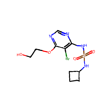 O=S(=O)(Nc1ncnc(OCCO)c1Br)NC1CCC1